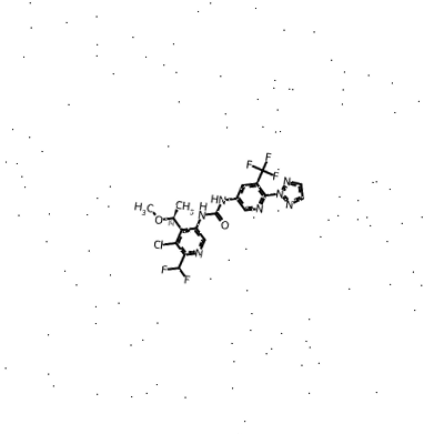 CO[C@@H](C)c1c(NC(=O)Nc2cnc(-n3nccn3)c(C(F)(F)F)c2)cnc(C(F)F)c1Cl